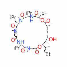 CC/C=C(\C)[C@H]1OC(=O)C(C)N(C)C(=O)C(C(C)C)NC(=O)CN(C)C(=O)[C@@H](CC(C)C)N(C)C(=O)[C@H](C(C)C)NC(=O)[C@@H](C(C)C)OC(=O)/C(C)=C/C[C@H](O)[C@@H]1C